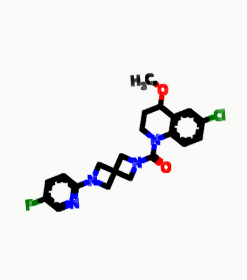 COC1CCN(C(=O)N2CC3(C2)CN(c2ccc(F)cn2)C3)c2ccc(Cl)cc21